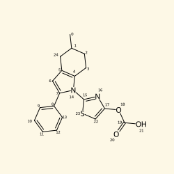 CC1CCc2c(cc(-c3ccccc3)n2-c2nc(OC(=O)O)cs2)C1